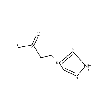 CCC(C)=O.c1cc[nH]c1